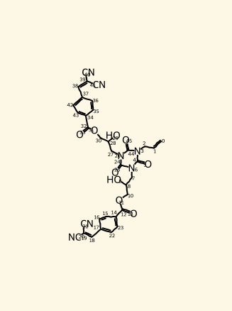 C=CCn1c(=O)n(CC(O)COC(=O)c2ccc(C=C(C#N)C#N)cc2)c(=O)n(CC(O)COC(=O)c2ccc(C=C(C#N)C#N)cc2)c1=O